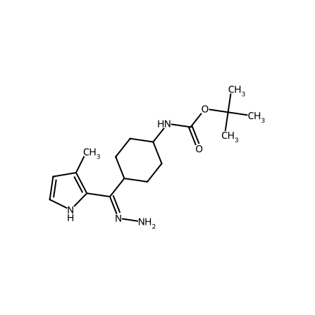 Cc1cc[nH]c1/C(=N/N)C1CCC(NC(=O)OC(C)(C)C)CC1